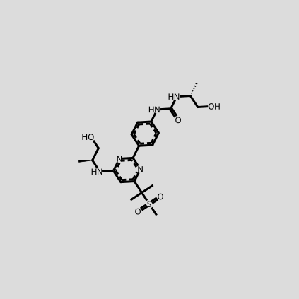 C[C@H](CO)NC(=O)Nc1ccc(-c2nc(N[C@@H](C)CO)cc(C(C)(C)S(C)(=O)=O)n2)cc1